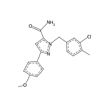 COc1ccc(-c2cc(C(N)=O)n(Cc3ccc(C)c(Cl)c3)n2)cc1